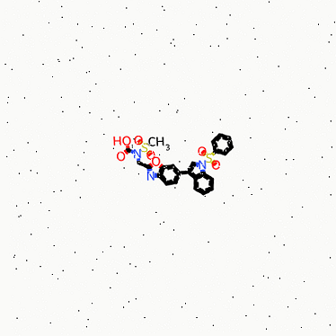 CS(=O)(=O)N(Cc1nc2ccc(-c3cn(S(=O)(=O)c4ccccc4)c4ccccc34)cc2o1)C(=O)O